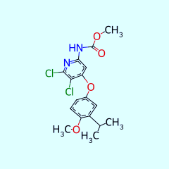 COC(=O)Nc1cc(Oc2ccc(OC)c(C(C)C)c2)c(Cl)c(Cl)n1